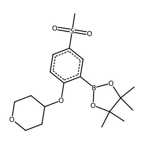 CC1(C)OB(c2cc(S(C)(=O)=O)ccc2OC2CCOCC2)OC1(C)C